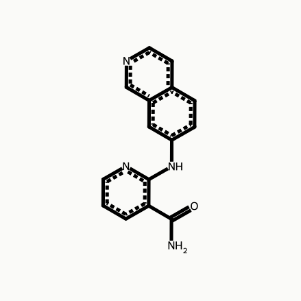 NC(=O)c1cccnc1Nc1ccc2ccncc2c1